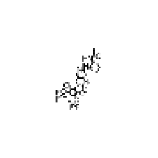 C=CC(=O)N[C@H]1CCCC[C@H]1Nc1ncc2c(n1)N(C)C(=O)N(c1c(Cl)c(OC(F)(F)F)cc(OC(F)(F)F)c1Cl)C2